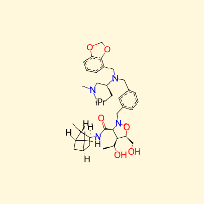 CC(C)C[C@@H](CN(C)C)N(Cc1cccc(CN2O[C@@H](CO)[C@@H]([C@H](C)O)[C@H]2C(=O)N[C@H]2C[C@H]3C[C@@H]([C@@H]2C)C3(C)C)c1)Cc1cccc2c1OCO2